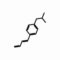 C=C/C=C/c1ccc(CC(C)C)cc1